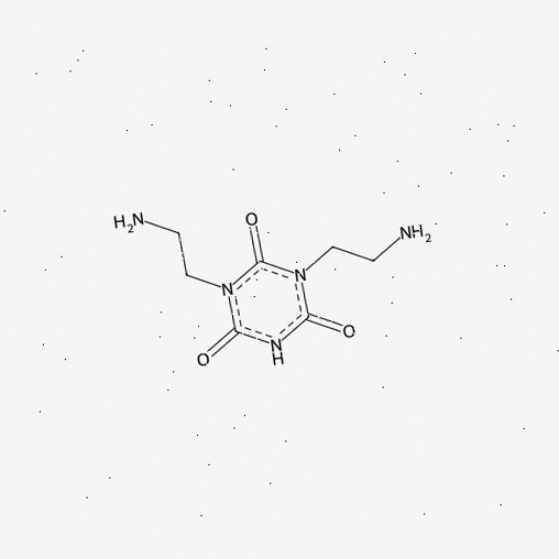 NCCn1c(=O)[nH]c(=O)n(CCN)c1=O